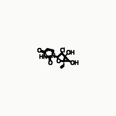 C=C[C@]12OC(n3ccc(=O)[nH]c3=O)[C@H](Cl)[C@@]1(O)C2O